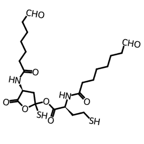 O=CCCCCCCC(=O)N[C@@H](CCS)C(=O)OC1(S)C[C@H](NC(=O)CCCCCC=O)C(=O)O1